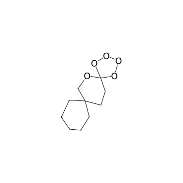 C1CCC2(CC1)CCC1(OC2)OOOO1